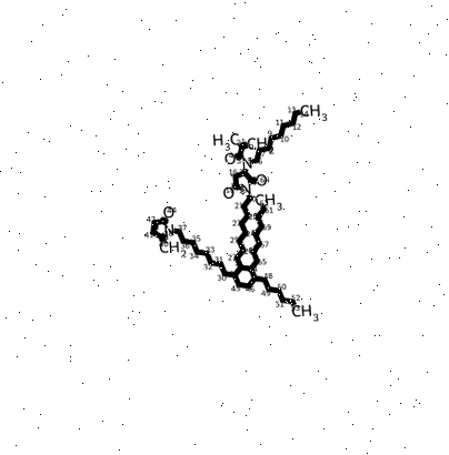 C=C(C)C(=O)N(CCCCCCCCC)C1CC(=O)N(CCCCCCCCC2C(CCCCCCCCN3C(=C)C=CC3=O)CCC(CCCCCC)C2CCCCCCCC)C1=O